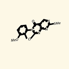 COc1cccc(-n2c(Cl)nc3nc(SC)ncc3c2=O)c1C